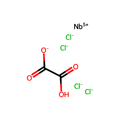 O=C([O-])C(=O)O.[Cl-].[Cl-].[Cl-].[Cl-].[Nb+5]